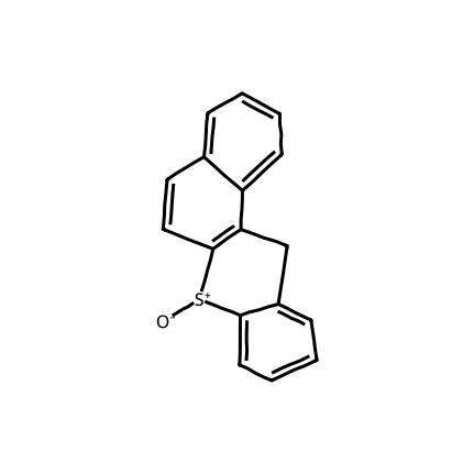 [O-][S+]1c2ccccc2Cc2c1ccc1ccccc21